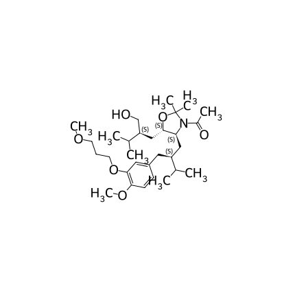 COCCCOc1cc(C[C@@H](C[C@H]2[C@H](C[C@H](CO)C(C)C)OC(C)(C)N2C(C)=O)C(C)C)ccc1OC